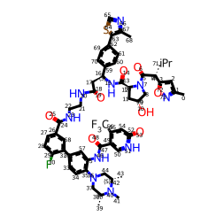 Cc1cc([C@H](C(=O)N2C[C@H](O)C[C@H]2C(=O)N[C@@H](CC(=O)NCCNC(=O)c2ccc(F)c(-c3ccc(N4C[C@@H](C)N(C)[C@@H](C)C4)c(NC(=O)c4c[nH]c(=O)cc4C(F)(F)F)c3)c2)c2ccc(-c3scnc3C)cc2)C(C)C)on1